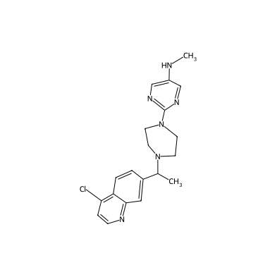 CNc1cnc(N2CCN(C(C)c3ccc4c(Cl)ccnc4c3)CC2)nc1